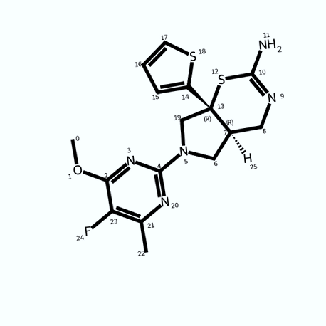 COc1nc(N2C[C@@H]3CN=C(N)S[C@@]3(c3cccs3)C2)nc(C)c1F